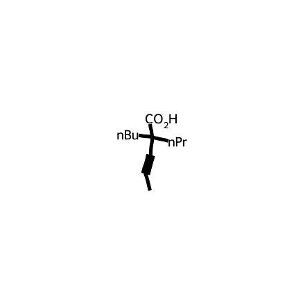 CC#CC(CCC)(CCCC)C(=O)O